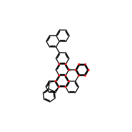 c1ccc(-c2ccccc2-c2c(-c3ccccc3)cccc2-c2ccccc2N(c2ccc(-c3cccc4ccccc34)cc2)c2ccc3c(c2)oc2ccccc23)cc1